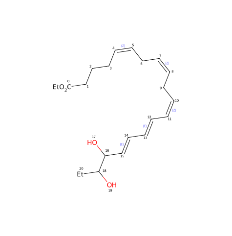 CCOC(=O)CCC/C=C\C/C=C\C\C=C/C=C/C=C/C(O)C(O)CC